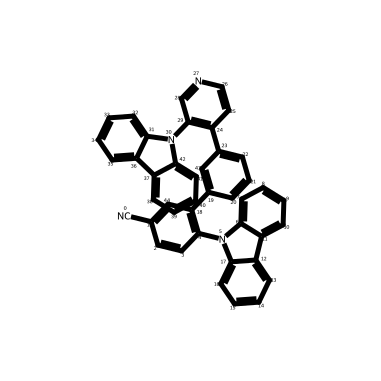 N#Cc1ccc(-n2c3ccccc3c3ccccc32)c(-c2cccc(-c3ccncc3-n3c4ccccc4c4ccccc43)c2)c1